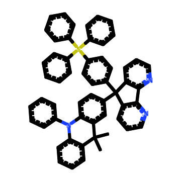 CC1(C)c2ccccc2N(c2ccccc2)c2ccc(C3(c4ccc(S(c5ccccc5)(c5ccccc5)c5ccccc5)cc4)c4cccnc4-c4ncccc43)cc21